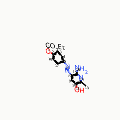 CCOC(=O)Oc1ccc(/N=N/c2cc(O)c(C)nc2N)cc1